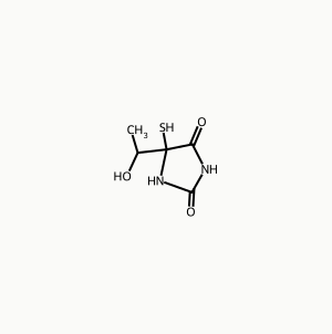 CC(O)C1(S)NC(=O)NC1=O